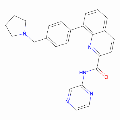 O=C(Nc1cnccn1)c1ccc2cccc(-c3ccc(CN4CCCC4)cc3)c2n1